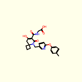 Cc1ccc(Oc2ccc(CN3C(=O)C(C(=O)NCC(=O)O)=C(O)CC34CCC4)cn2)cc1